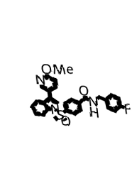 C=S(=O)(c1ccc(C(=O)NCc2ccc(F)cc2)cc1)n1cc(-c2ccc(OC)nc2)c2ccccc21